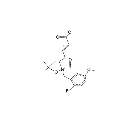 COc1ccc(Br)c(C[N+](C=O)(CC/C=C/C(=O)[O-])OC(C)(C)C)c1